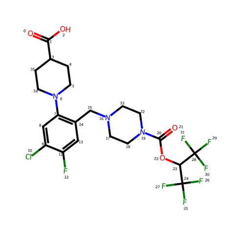 O=C(O)C1CCN(c2cc(Cl)c(F)cc2CN2CCN(C(=O)OC(C(F)(F)F)C(F)(F)F)CC2)CC1